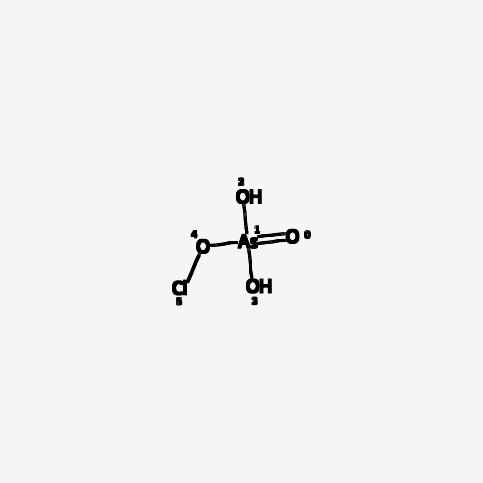 O=[As](O)(O)OCl